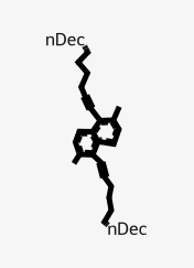 CCCCCCCCCCCCCCC#Cc1c(C)ccc2c(C#CCCCCCCCCCCCCCC)c(C)ccc12